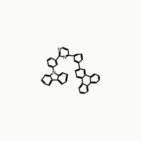 c1cc(-c2ccc3c4ccccc4c4ccccc4c3c2)cc(-c2ccnc(-c3cccc(-n4c5ccccc5c5ccccc54)c3)n2)c1